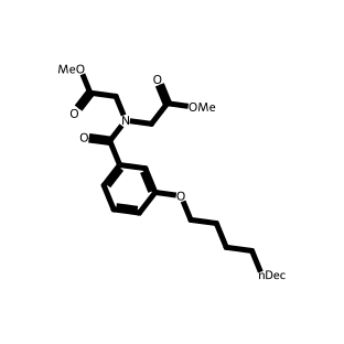 CCCCCCCCCCCCCCOc1cccc(C(=O)N(CC(=O)OC)CC(=O)OC)c1